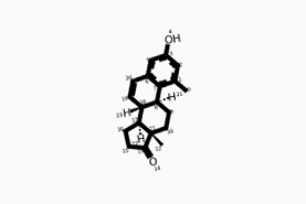 Cc1cc(O)cc2c1[C@H]1CC[C@]3(C)C(=O)CC[C@H]3[C@@H]1C=C2